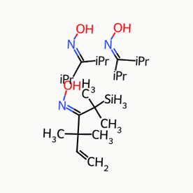 C=CC(C)(C)C(=NO)C(C)(C)[SiH3].CC(C)C(=NO)C(C)C.CC(C)C(=NO)C(C)C